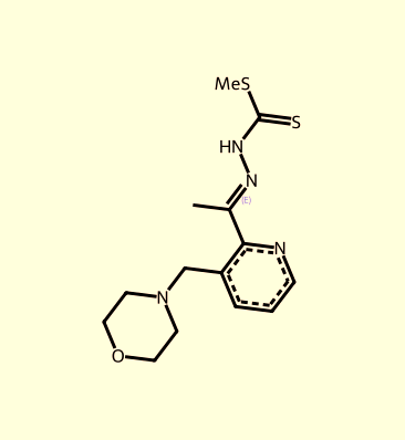 CSC(=S)N/N=C(\C)c1ncccc1CN1CCOCC1